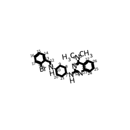 CN(C)c1nc(N[C@H]2CC[C@@H](NCc3ccccc3Br)CC2)nc2ccccc12